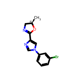 C[C@@H]1CN=C(c2cn(-c3cccc(Br)c3)cn2)O1